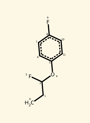 [CH2]CC(F)Oc1ccc(F)cc1